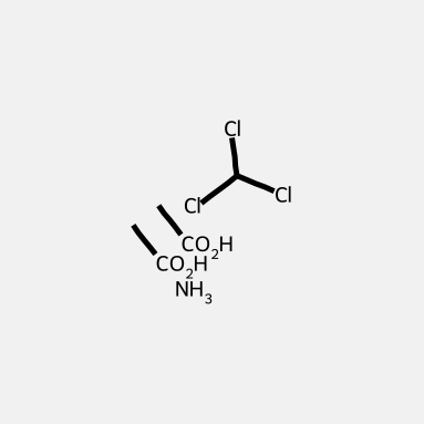 CC(=O)O.CC(=O)O.ClC(Cl)Cl.N